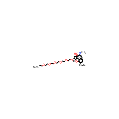 C/N=C1\Cc2ccc(OC)c3c2[C@@]2(C1)[C@@H](O3)[C@@H](OCCOCCOCCOCCOCCOCCOC)CC[C@]2(C)O